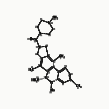 Cc1ccc(-c2c(C)c3c(c(C)c2[C@H](OC(C)(C)C)C(=O)O)CN(C(=O)N2CCN(C)CC2)C3)cc1